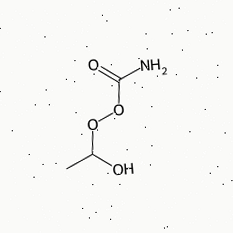 CC(O)OOC(N)=O